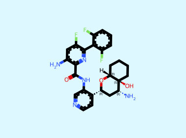 Nc1cc(F)c(-c2c(F)cccc2F)nc1C(=O)Nc1cnccc1[C@H]1C[C@@H](N)[C@@]2(O)CCCC[C@H]2O1